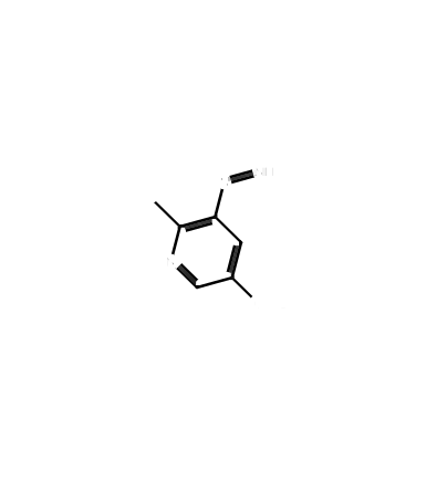 CCOC(=O)c1cnc(C)c(N=N)c1